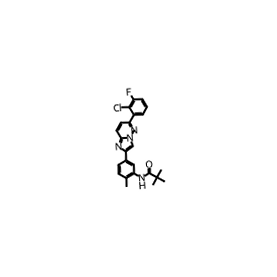 Cc1ccc(-c2cn3nc(-c4cccc(F)c4Cl)ccc3n2)cc1NC(=O)C(C)(C)C